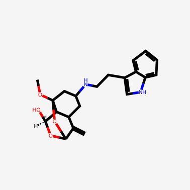 C=C1C2O[C@@H](O)C3C1CC(NCCc1c[nH]c4ccccc14)CC3(OC)O2